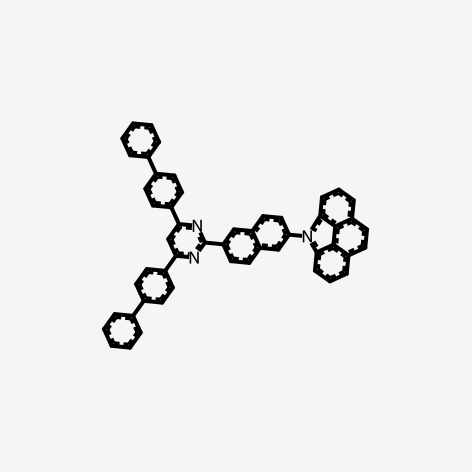 c1ccc(-c2ccc(-c3cc(-c4ccc(-c5ccccc5)cc4)nc(-c4ccc5cc(-n6c7cccc8ccc9cccc6c9c87)ccc5c4)n3)cc2)cc1